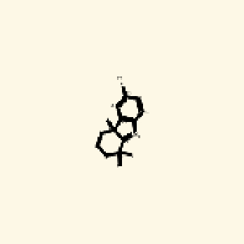 CC1(C)CCCC2(C)C1=Nc1ccc(F)cc12